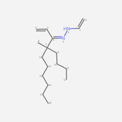 C=CN/N=C(\C=C)C(C)(CCCC)CCCCCC